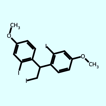 COc1ccc(C(CI)c2ccc(OC)cc2I)c(I)c1